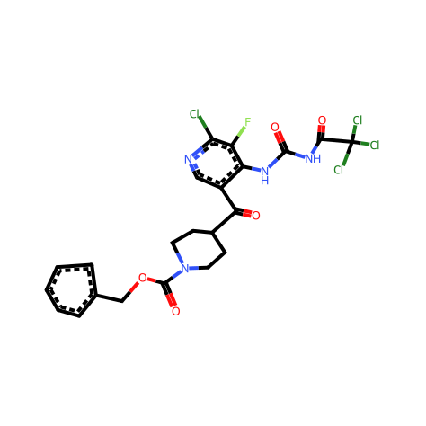 O=C(NC(=O)C(Cl)(Cl)Cl)Nc1c(C(=O)C2CCN(C(=O)OCc3ccccc3)CC2)cnc(Cl)c1F